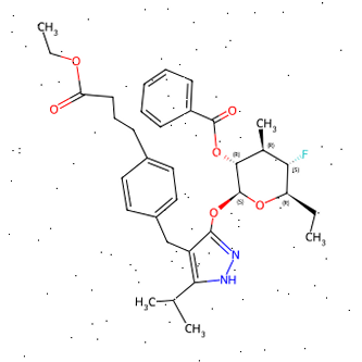 CCOC(=O)CCCc1ccc(Cc2c(O[C@@H]3O[C@H](CC)[C@@H](F)[C@H](C)[C@H]3OC(=O)c3ccccc3)n[nH]c2C(C)C)cc1